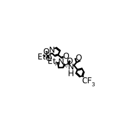 CC[C@@H]1CC[C@H](C(=O)NC(c2ccc(C(F)(F)F)cc2)C2COC2)N1C(=O)c1ccnc(S(=O)(=O)CC)c1